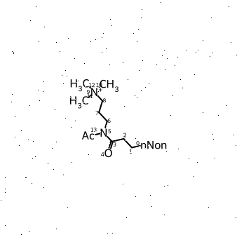 CCCCCCCCCCCC(=O)N(CCC[N+](C)(C)C)C(C)=O